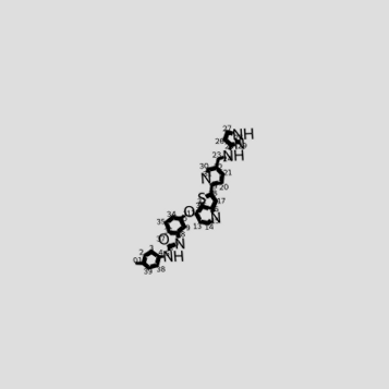 Cc1ccc(Nc2nc3cc(Oc4ccnc5cc(-c6ccc(CNc7cc[nH]n7)cn6)sc45)ccc3o2)cc1